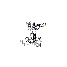 Cn1ncnc1/C(=N/OC(C)(C)C)[C@H]1CC[C@@H](N(C)c2c(C#N)c(=O)n(C)c3ccc(C#N)nc23)CC1